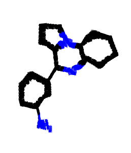 Nc1cccc(-c2nc3ccccc3n3cccc23)c1